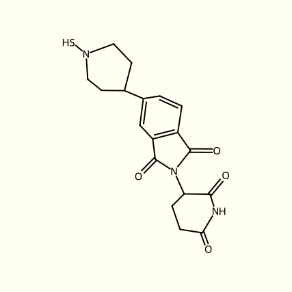 O=C1CCC(N2C(=O)c3ccc(C4CCN(S)CC4)cc3C2=O)C(=O)N1